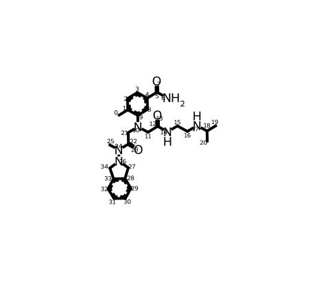 Cc1ccc(C(N)=O)cc1N(CC(=O)NCCNC(C)C)CC(=O)N(C)N1Cc2ccccc2C1